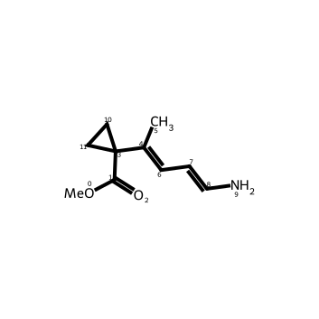 COC(=O)C1(/C(C)=C/C=C/N)CC1